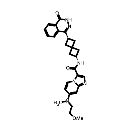 COCCN(C)c1ccn2c(C(=O)N[C@H]3CC4(C3)C[C@H](c3n[nH]c(=O)c5ccccc53)C4)cnc2c1